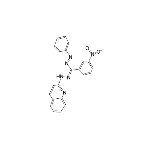 O=[N+]([O-])c1cccc(C(N=Nc2ccccc2)=NNc2ccc3ccccc3n2)c1